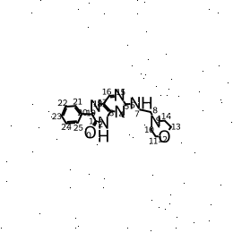 O=c1[nH]c2nc(NCCN3CCOCC3)ncc2nc1-c1ccccc1